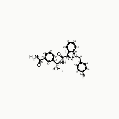 C[C@@H](NC(=O)c1nn(Cc2ccc(F)cc2)c2ccccc12)c1cccc(C(N)=O)c1